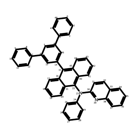 c1ccc(-c2cc(-c3ccccc3)cc(-c3c4ccccc4c(N(c4ccccc4)c4ccc5ccccc5n4)c4ccccc34)c2)cc1